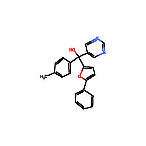 Cc1ccc(C(O)(c2cncnc2)c2ccc(-c3ccccc3)o2)cc1